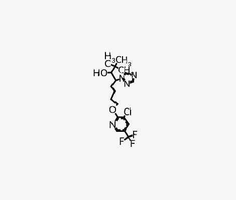 CC(C)(C)C(O)C(CCCCOc1ncc(C(F)(F)F)cc1Cl)n1cncn1